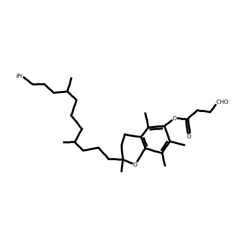 Cc1c(C)c2c(c(C)c1OC(=O)CC[C]=O)CCC(C)(CCCC(C)CCCC(C)CCCC(C)C)O2